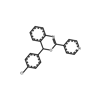 Clc1ccc(C2OC(c3ccncc3)=Nc3ccccc32)cc1